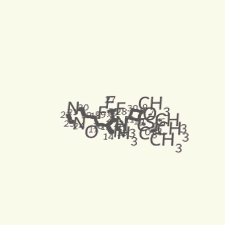 CC(C)(C)[Si](C)(C)O[C@]1(C)C[C@H](n2ncc(C(=O)Cc3cnccn3)c2C(F)(F)F)C1